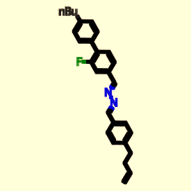 C=CCCc1ccc(C=NN=Cc2ccc(-c3ccc(CCCC)cc3)c(F)c2)cc1